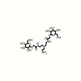 NCCN(CCNC(=O)CSC1OC(CO)C(O)C(O)C1O)CCNC(=O)CSC1OC(CO)C(O)C(O)C1O